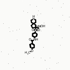 COc1ccc(C(=O)Nc2ccc(S(=O)(=O)C3(C(=O)NO)CCC4(CCNCC4)C3)cc2)cc1